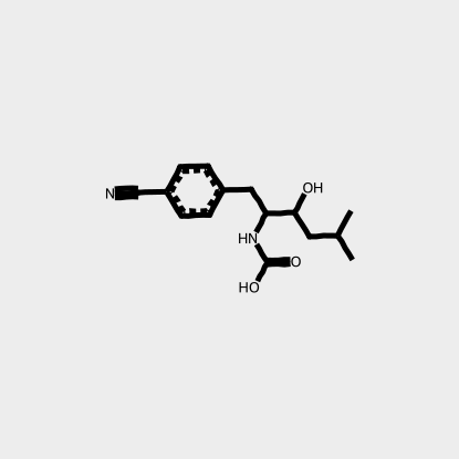 CC(C)CC(O)C(Cc1ccc(C#N)cc1)NC(=O)O